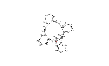 c1ccc2ccc3ccccc3c3ccc(c4ccccc4ccc2c1)c1nc2ccccc2nc31